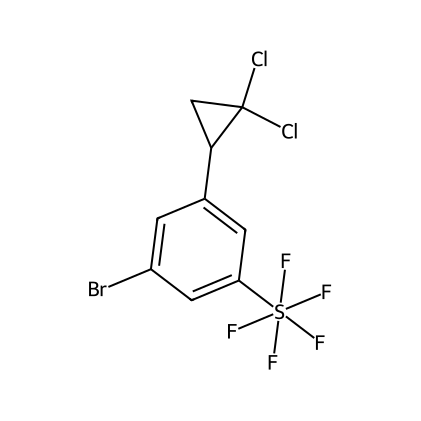 FS(F)(F)(F)(F)c1cc(Br)cc(C2CC2(Cl)Cl)c1